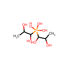 CC(O)C(O)P(O)(O)(O)C(O)C(C)O